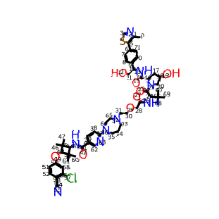 Cc1ncsc1-c1ccc([C@H](CO)NC(=O)[C@@H]2C[C@@H](O)CN2C(=O)[C@@H](NC(=O)COCCN2CCCN(c3ccc(C(=O)NC4C(C)(C)C(Oc5ccc(C#N)c(Cl)c5)C4(C)C)cn3)CC2)C(C)(C)C)cc1